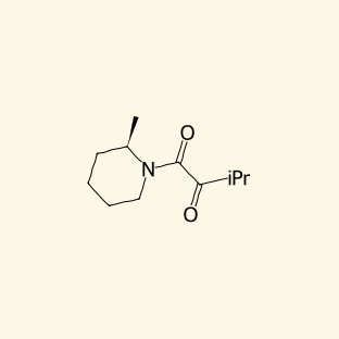 CC(C)C(=O)C(=O)N1CCCC[C@H]1C